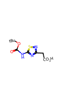 CC(C)(C)OC(=O)Nc1nc(CC(=O)O)ns1